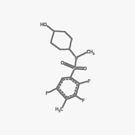 Cc1c(F)cc(S(=O)(=O)N(C)C2CCC(O)CC2)c(F)c1F